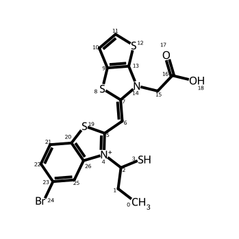 CCC(S)[n+]1c(C=C2Sc3ccsc3N2CC(=O)O)sc2ccc(Br)cc21